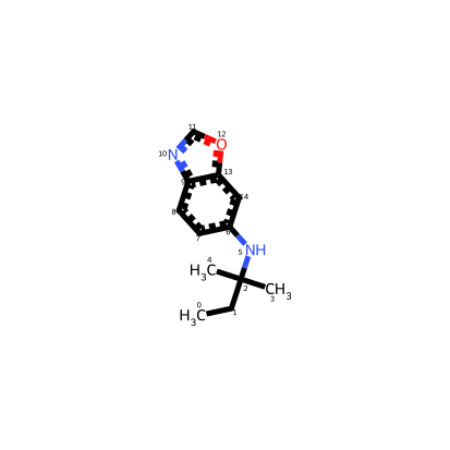 CCC(C)(C)Nc1ccc2ncoc2c1